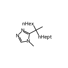 CCCCCCCC(C)(CCCCCC)c1nncn1C